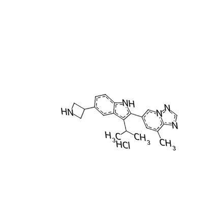 Cc1cc(-c2[nH]c3ccc(C4CNC4)cc3c2C(C)C)cn2ncnc12.Cl